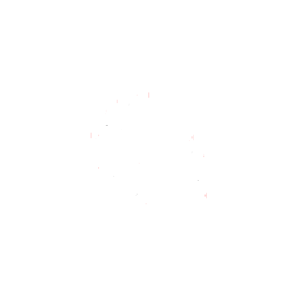 O=C(O)c1ccc(Oc2ccc(C(=O)O)c(C(=O)O)c2)cc1C(=O)O.O=C1C=CC(=O)C=C1